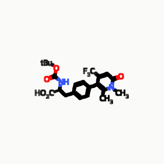 Cc1c(-c2ccc(C[C@H](NC(=O)OC(C)(C)C)C(=O)O)cc2)c(C(F)(F)F)cc(=O)n1C